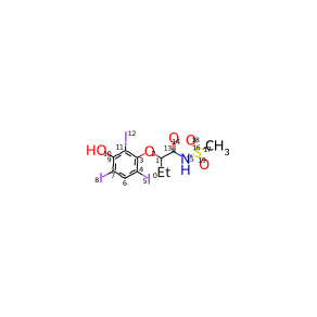 CCC(Oc1c(I)cc(I)c(O)c1I)C(=O)NS(C)(=O)=O